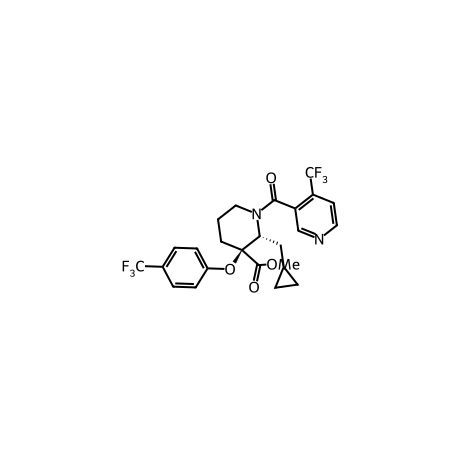 COC(=O)[C@]1(Oc2ccc(C(F)(F)F)cc2)CCCN(C(=O)c2cnccc2C(F)(F)F)[C@@H]1CC1CC1